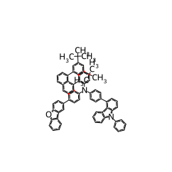 CC(C)(C)c1cc(-c2cccc3cccc(-c4ccccc4N(c4ccc(-c5ccc6oc7ccccc7c6c5)cc4)c4ccc(-c5cccc6c5c5ccccc5n6-c5ccccc5)cc4)c23)cc(C(C)(C)C)c1